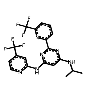 CC(C)Nc1cc(Nc2cc(C(F)(F)F)ccn2)nc(-c2cccc(C(F)(F)F)n2)n1